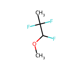 COC(F)C(C)(F)F